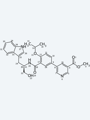 COC(=O)c1cncc(-c2ccc(OC(C)C)c(C(=O)N[C@@H](CO)Cc3c[nH]c4ccccc34)c2)c1